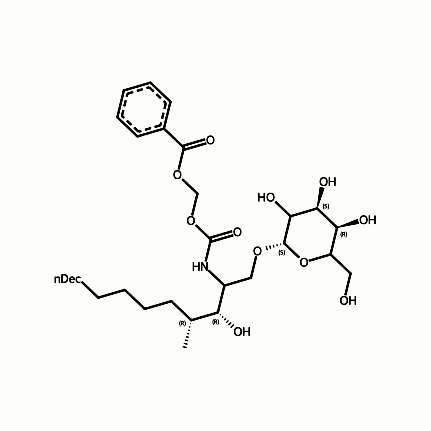 CCCCCCCCCCCCCC[C@@H](C)[C@@H](O)C(CO[C@H]1OC(CO)[C@H](O)[C@H](O)C1O)NC(=O)OCOC(=O)c1ccccc1